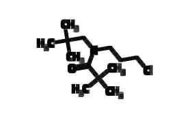 CC(C)(C)CN(CCCCl)C(=O)C(C)(C)C